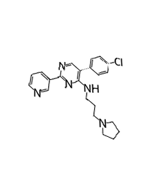 Clc1ccc(-c2cnc(-c3cccnc3)nc2NCCCN2CCCC2)cc1